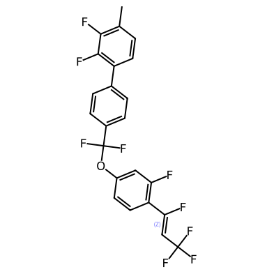 Cc1ccc(-c2ccc(C(F)(F)Oc3ccc(/C(F)=C/C(F)(F)F)c(F)c3)cc2)c(F)c1F